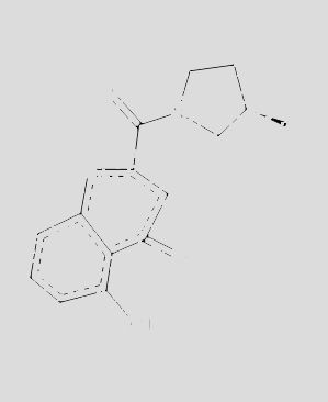 Cc1cccc2oc(C(=O)N3CC[C@@H](F)C3)cc(=O)c12